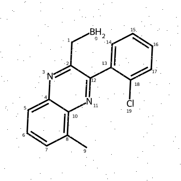 BCc1nc2cccc(C)c2nc1-c1ccccc1Cl